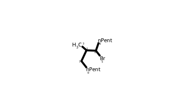 CCCCCCC(C)C(Br)CCCCC